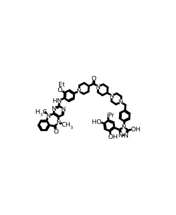 CCOc1cc(N2CCC(C(=O)N3CCC(N4CCN(Cc5ccc(-n6c(O)nnc6-c6cc(C(C)C)c(O)cc6O)cc5)CC4)CC3)CC2)ccc1Nc1ncc2c(n1)N(C)c1ccccc1C(=O)N2C